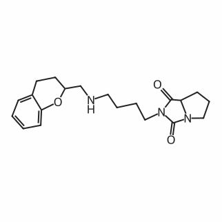 O=C1C2CCCN2C(=O)N1CCCCNCC1CCc2ccccc2O1